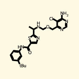 CC(NCOCc1ncnc(N)c1Cl)c1ncc(C(=O)Nc2cccc(C(C)(C)C)c2)s1